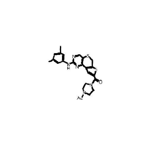 CC(=O)N1CCN(C(=O)c2cc3c(s2)CSc2cnc(Nc4cc(C)cc(C)c4)nc2-3)CC1